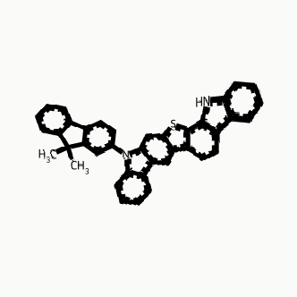 CC1(C)c2ccccc2-c2ccc(-n3c4ccccc4c4cc5c(cc43)sc3c5ccc4c5ccccc5[nH]c43)cc21